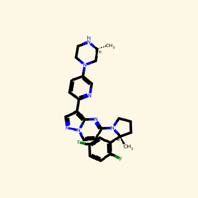 C[C@@H]1CN(c2ccc(-c3cnn4ccc(N5CCC[C@]5(C)c5cc(F)ccc5F)nc34)nc2)CCN1